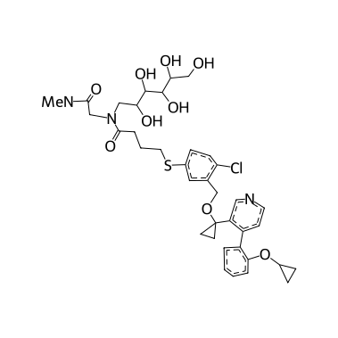 CNC(=O)CN(CC(O)C(O)C(O)C(O)CO)C(=O)CCCSc1ccc(Cl)c(COC2(c3cnccc3-c3ccccc3OC3CC3)CC2)c1